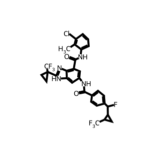 Cc1c(Cl)cccc1NC(=O)c1cc(NC(=O)c2ccc(C(F)C3CC3C(F)(F)F)cc2)cc2[nH]c(C3(C(F)(F)F)CC3)nc12